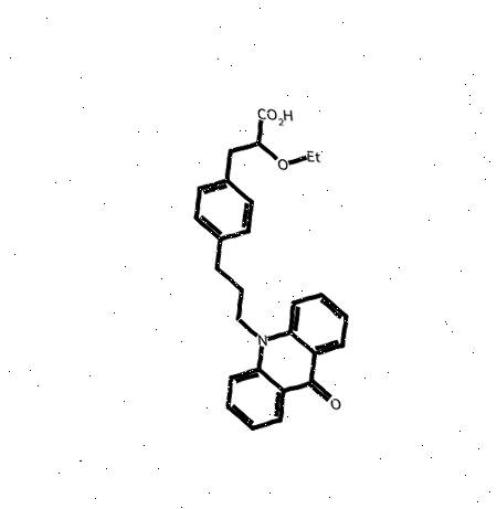 CCOC(Cc1ccc(CCCn2c3ccccc3c(=O)c3ccccc32)cc1)C(=O)O